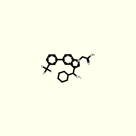 CC(c1cn(CC(=O)O)c2ccc(-c3cccc(C(F)(F)F)c3)cc12)C1CCCCC1